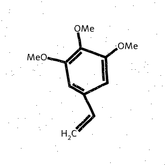 C=Cc1cc(OC)c(OC)c(OC)c1